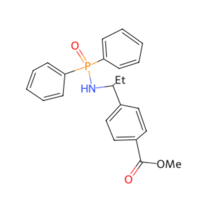 CCC(NP(=O)(c1ccccc1)c1ccccc1)c1ccc(C(=O)OC)cc1